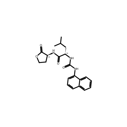 CC(C)C[C@H](NC(=O)Nc1cccc2ccccc12)C(=O)N[C@H]1CCOC1=O